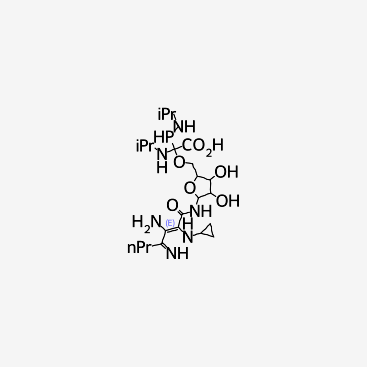 CCCC(=N)/C(N)=C(\NC1CC1)C(=O)NC1OC(COC(NC(C)C)(PNC(C)C)C(=O)O)C(O)C1O